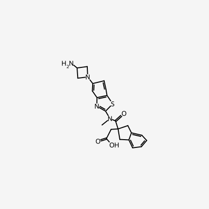 CN(C(=O)C1(CC(=O)O)Cc2ccccc2C1)c1nc2cc(N3CC(N)C3)ccc2s1